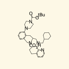 CC(C)(C)OC(=O)N1CCN(c2cccc3c2CC(CN(CC2CCCCC2)[C@H]2CCCc4cccnc42)N(C(=O)O)C3)CC1